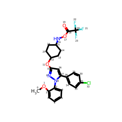 COc1ccccc1-n1nc(OC2CCC(NOC(=O)C(F)(F)F)CC2)cc1-c1ccc(Cl)cc1